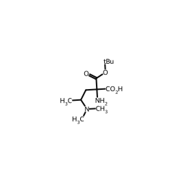 CC(CC(N)(C(=O)O)C(=O)OC(C)(C)C)N(C)C